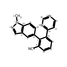 Cn1ncc2cc(-c3c(C#N)cccc3-c3ccncn3)ccc21